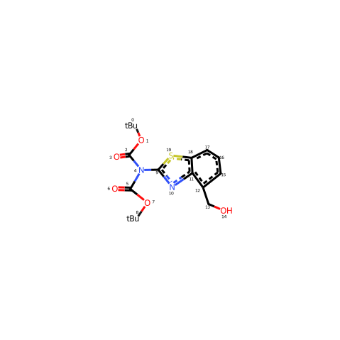 CC(C)(C)OC(=O)N(C(=O)OC(C)(C)C)c1nc2c(CO)cccc2s1